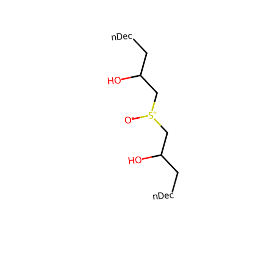 CCCCCCCCCCCC(O)C[S+]([O-])CC(O)CCCCCCCCCCC